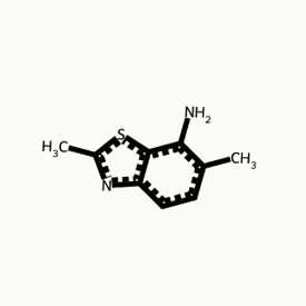 Cc1nc2ccc(C)c(N)c2s1